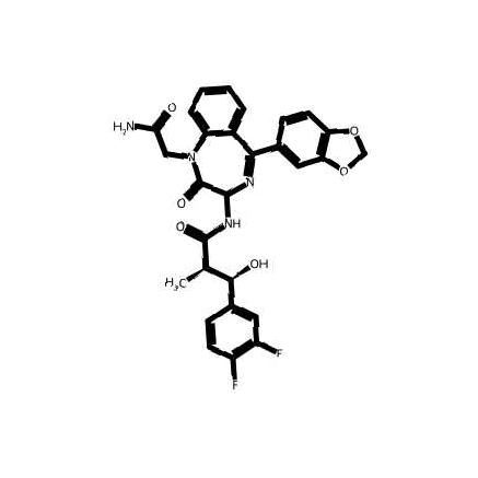 C[C@@H](C(=O)NC1N=C(c2ccc3c(c2)OCO3)c2ccccc2N(CC(N)=O)C1=O)[C@@H](O)c1ccc(F)c(F)c1